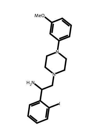 COc1cccc(N2CCN(CC(N)c3ccccc3I)CC2)c1